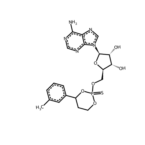 Cc1cccc(C2CCOP(=S)(OC[C@H]3O[C@@H](n4cnc5c(N)ncnc54)[C@H](O)[C@@H]3O)O2)c1